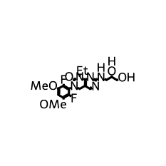 CCN1C(=O)N(c2c(F)c(OC)cc(OC)c2F)Cc2cnc(NCC(O)CO)nc21